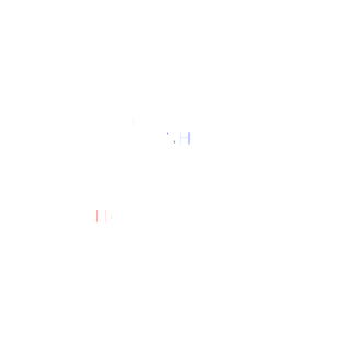 Cc1c(CO)c2cc(Cl)ccc2[nH]c1=O